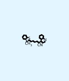 CN1C(=CC=CC=C(C#N)c2ccnc3ccccc23)Sc2ccccc21